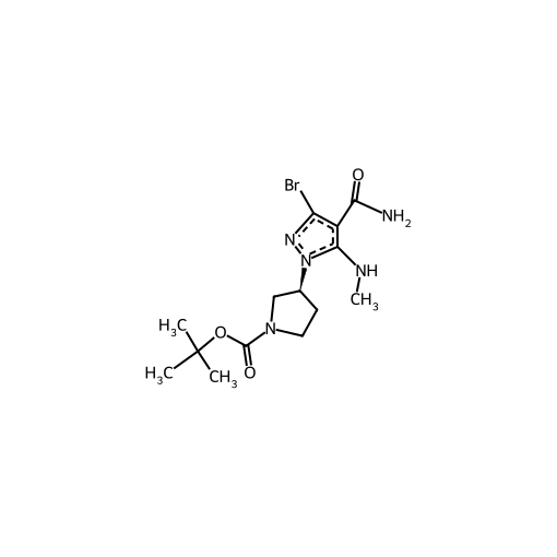 CNc1c(C(N)=O)c(Br)nn1[C@H]1CCN(C(=O)OC(C)(C)C)C1